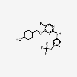 OC1CCC(COc2nc(Nc3cnn(CC(F)(F)F)c3)ncc2F)CC1